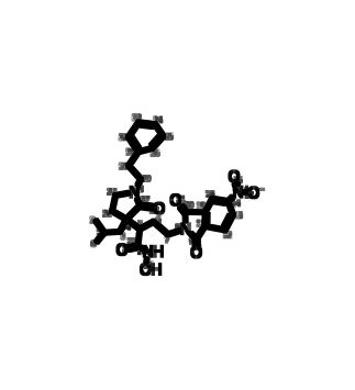 CC(C)CC1(C(CCN2C(=O)c3ccc([N+](=O)[O-])cc3C2=O)C(=O)NO)CCN(CCc2ccccc2)C1=O